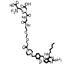 CCCCCNc1nc(N)nc2ccn(Cc3ccc(CN4CCN(C(=O)CCOCCOCCNC(=O)CNC(=O)[C@@H](CC(=O)O)SC[C@H](N)C(=O)O)CC4)cc3OC)c12